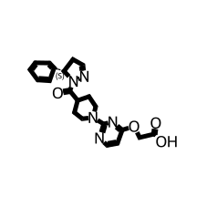 O=C(O)COc1ccnc(N2CCC(C(=O)N3N=CC[C@H]3c3ccccc3)CC2)n1